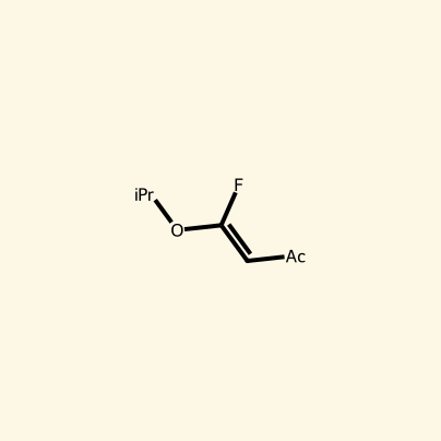 CC(=O)C=C(F)OC(C)C